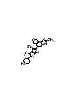 Cc1nc2c3c(c(-c4[nH]c5sc(C6CCNCC6)c(C)c5c4C(C)C)cn2n1)COC3